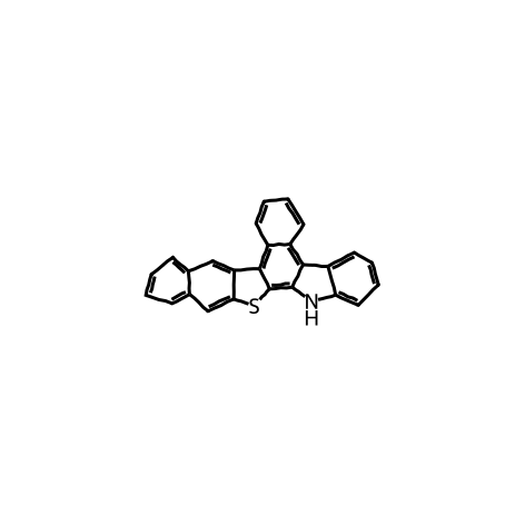 c1ccc2cc3c(cc2c1)sc1c2[nH]c4ccccc4c2c2ccccc2c31